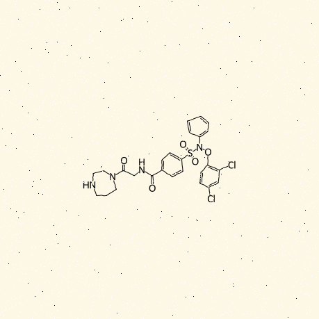 O=C(NCC(=O)N1CCCNCC1)c1ccc(S(=O)(=O)N(Oc2ccc(Cl)cc2Cl)c2ccccc2)cc1